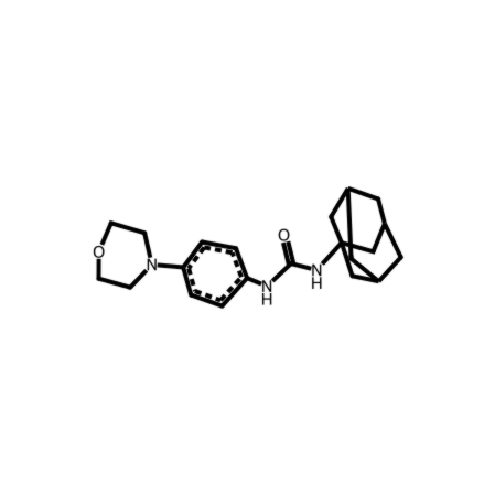 O=C(Nc1ccc(N2CCOCC2)cc1)NC12CC3CC(CC(C3)C1)C2